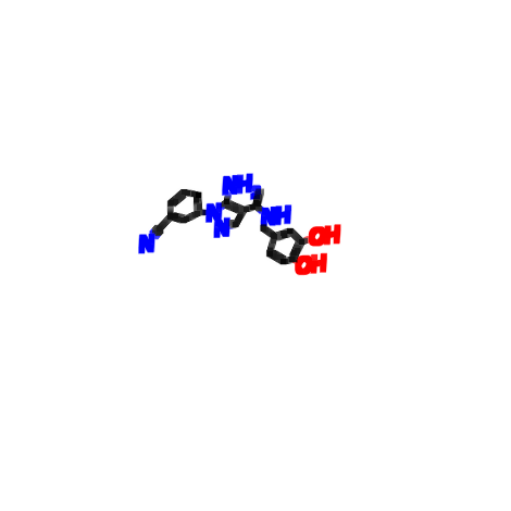 C=C(NCc1ccc(O)c(O)c1)c1cnn(-c2cccc(C#N)c2)c1N